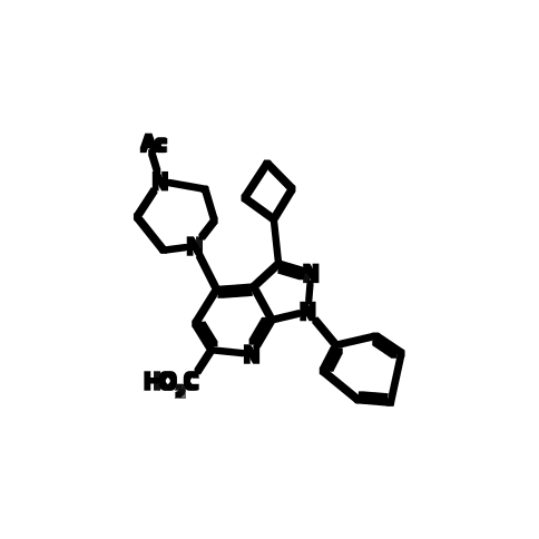 CC(=O)N1CCN(c2cc(C(=O)O)nc3c2c(C2CCC2)nn3-c2ccccc2)CC1